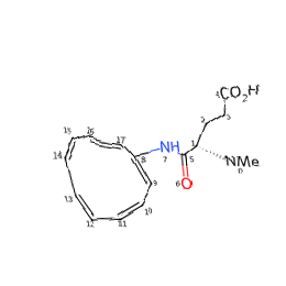 CN[C@@H](CCC(=O)O)C(=O)Nc1ccccccccc1